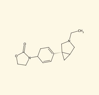 CCN1CC2C[C@@]2(C2=CCC(N3CCOC3=O)C=C2)C1